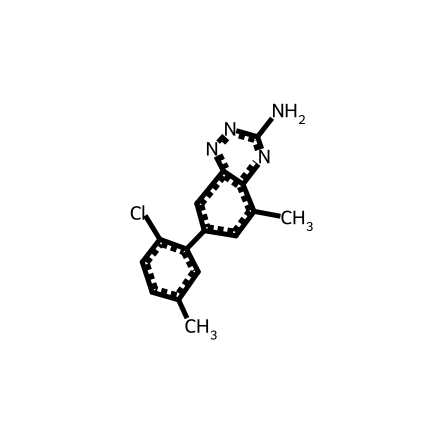 Cc1ccc(Cl)c(-c2cc(C)c3nc(N)nnc3c2)c1